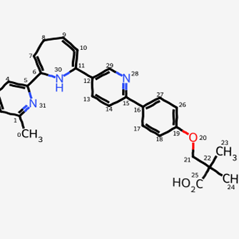 Cc1cccc(C2=CCC=C=C(c3ccc(-c4ccc(OCC(C)(C)C(=O)O)cc4)nc3)N2)n1